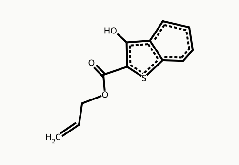 C=CCOC(=O)c1sc2ccccc2c1O